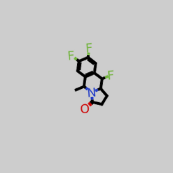 CC1c2cc(F)c(F)cc2C(F)C2CCC(=O)N12